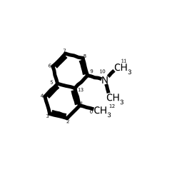 Cc1cccc2cccc(N(C)C)c12